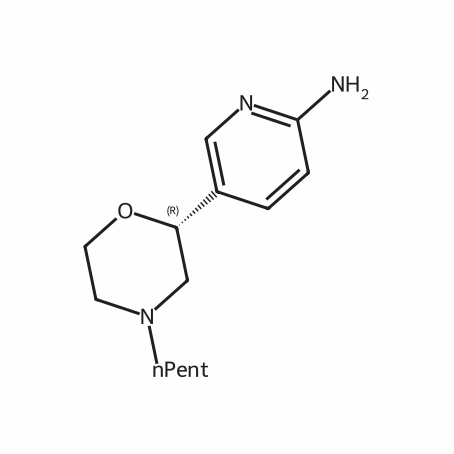 CCCCCN1CCO[C@H](c2ccc(N)nc2)C1